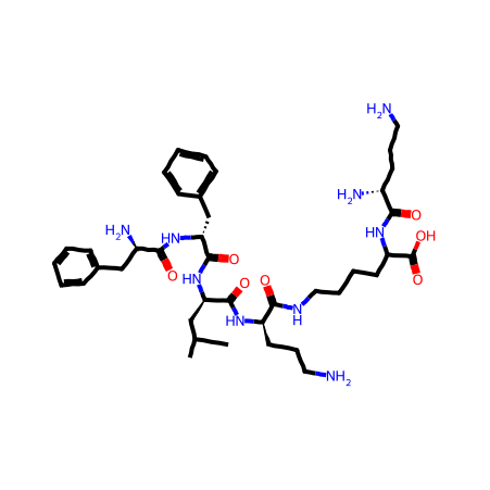 CC(C)C[C@@H](NC(=O)[C@@H](Cc1ccccc1)NC(=O)[C@H](N)Cc1ccccc1)C(=O)N[C@H](CCCN)C(=O)NCCCCC(NC(=O)[C@H](N)CCCN)C(=O)O